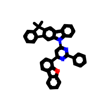 CC1(C)c2ccccc2-c2cc3c(cc21)c1ccccc1n3-c1cc(-c2cccc3c2oc2ccccc23)nc(-c2ccccc2)n1